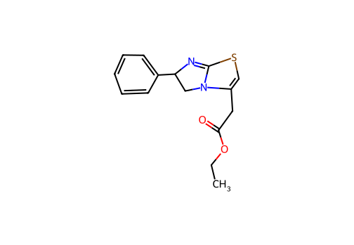 CCOC(=O)CC1=CSC2=NC(c3ccccc3)CN12